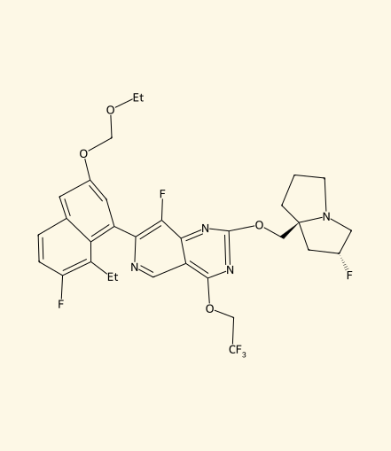 CCOCOc1cc(-c2ncc3c(OCC(F)(F)F)nc(OC[C@@]45CCCN4C[C@H](F)C5)nc3c2F)c2c(CC)c(F)ccc2c1